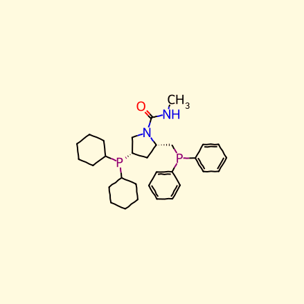 CNC(=O)N1C[C@@H](P(C2CCCCC2)C2CCCCC2)C[C@H]1CP(c1ccccc1)c1ccccc1